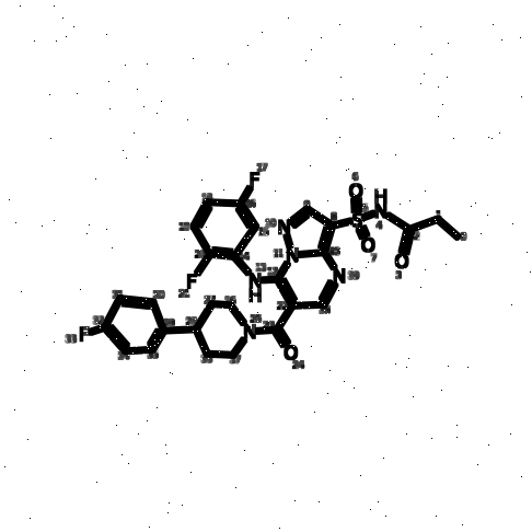 CCC(=O)NS(=O)(=O)c1cnn2c(Nc3cc(F)ccc3F)c(C(=O)N3CCC(c4ccc(F)cc4)CC3)cnc12